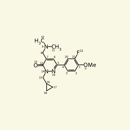 COc1ccc(-c2cc(CN(C)C)c(=O)n(CC3CC3)n2)cc1F